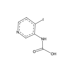 O=C(O)Nc1cnccc1I